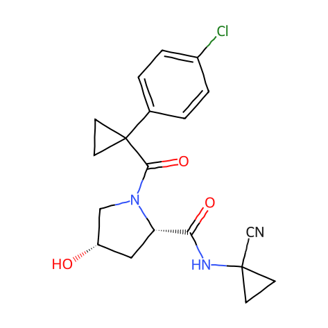 N#CC1(NC(=O)[C@@H]2C[C@H](O)CN2C(=O)C2(c3ccc(Cl)cc3)CC2)CC1